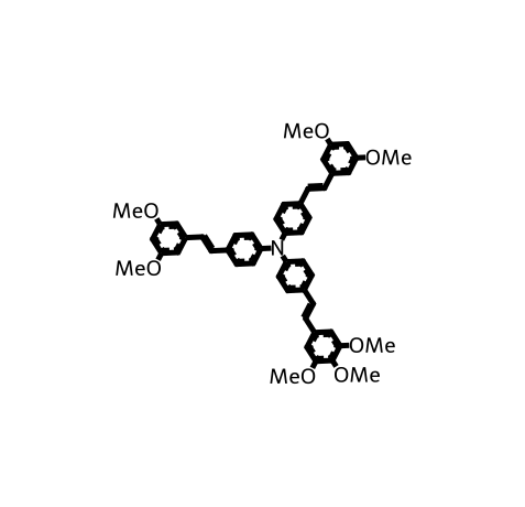 COc1cc(C=Cc2ccc(N(c3ccc(C=Cc4cc(OC)cc(OC)c4)cc3)c3ccc(C=Cc4cc(OC)c(OC)c(OC)c4)cc3)cc2)cc(OC)c1